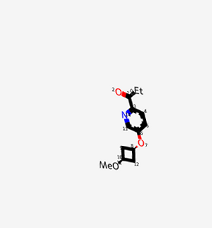 CCC(=O)c1ccc(O[C@H]2C[C@H](OC)C2)cn1